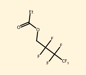 CCC(=O)OCC(F)(F)C(F)(F)C(F)(F)F